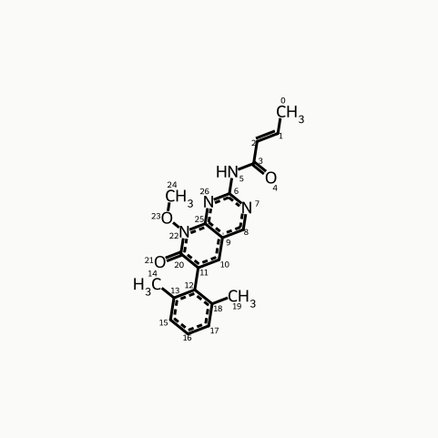 CC=CC(=O)Nc1ncc2cc(-c3c(C)cccc3C)c(=O)n(OC)c2n1